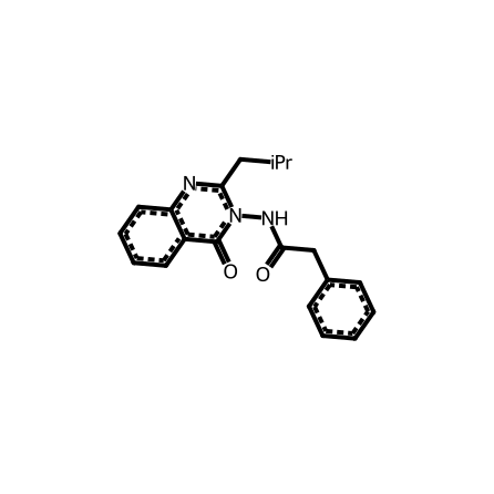 CC(C)Cc1nc2ccccc2c(=O)n1NC(=O)Cc1ccccc1